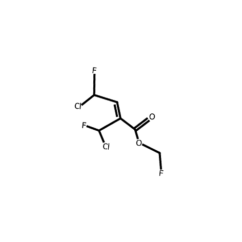 O=C(OCF)C(=CC(F)Cl)C(F)Cl